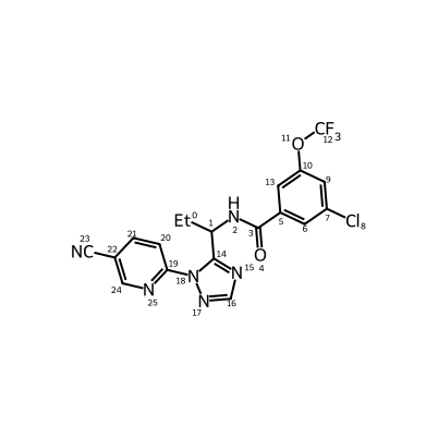 CCC(NC(=O)c1cc(Cl)cc(OC(F)(F)F)c1)c1ncnn1-c1ccc(C#N)cn1